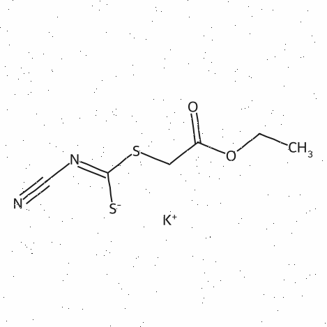 CCOC(=O)CS/C([S-])=N/C#N.[K+]